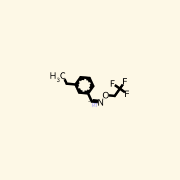 CCc1cccc(/[C]=N\OCC(F)(F)F)c1